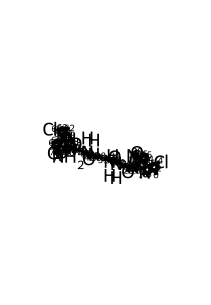 Cc1cc(Cl)cc2c1CN(C)CC2c1cccc(S(N)(=O)=O)c1[C@@H]1CCN(C(=O)CCCNC(=O)NCCCCNC(=O)NCCCC(=O)N2CC[C@@H](c3c(C4CN(C)Cc5c(C)cc(Cl)cc54)cccc3S(N)(=O)=O)C2)C1